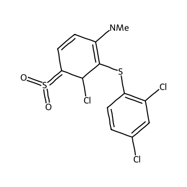 CNC1=C(Sc2ccc(Cl)cc2Cl)C(Cl)C(=S(=O)=O)C=C1